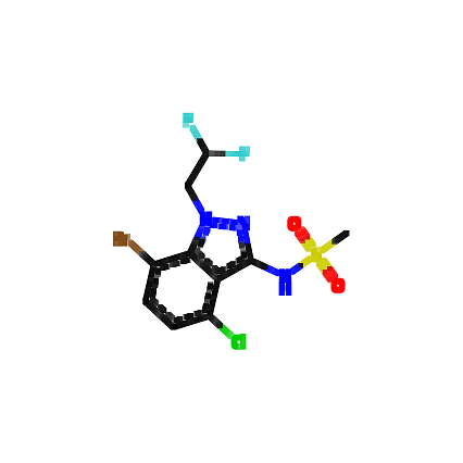 CS(=O)(=O)Nc1nn(CC(F)F)c2c(Br)ccc(Cl)c12